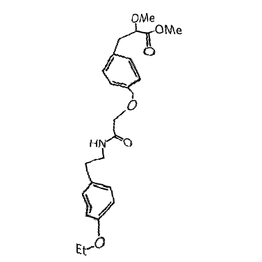 CCOc1ccc(CCNC(=O)COc2ccc(CC(OC)C(=O)OC)cc2)cc1